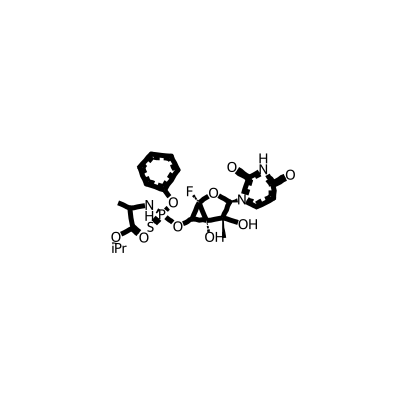 CC(C)OC(=O)C(C)NP(=S)(Oc1ccccc1)OC1[C@]2(O)[C@@](C)(O)[C@H](n3ccc(=O)[nH]c3=O)O[C@]12F